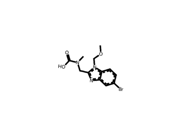 COCn1c(CN(C)C(=O)O)nc2cc(Br)ccc21